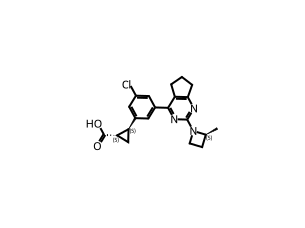 C[C@H]1CCN1c1nc2c(c(-c3cc(Cl)cc([C@H]4C[C@@H]4C(=O)O)c3)n1)CCC2